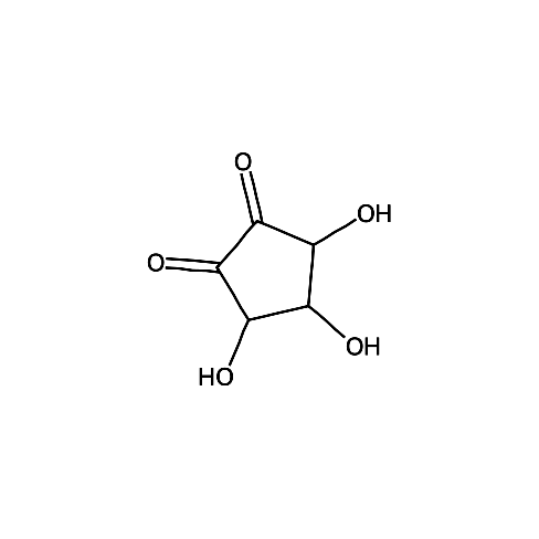 O=C1C(=O)C(O)C(O)C1O